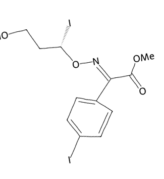 COC(=O)/C(=N/O[C@@H](I)CCO)c1ccc(I)cc1